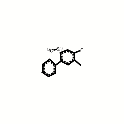 Cc1cc(-c2cc[c]cc2)ccc1F.OS